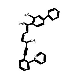 CN/C(=C\C=C/C(C)C#Cc1ccccc1-c1ccccn1)c1ccc(-c2ccccc2)cc1C